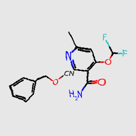 Cc1cc(OC(F)F)c(C(N)=O)cn1.N#COCc1ccccc1